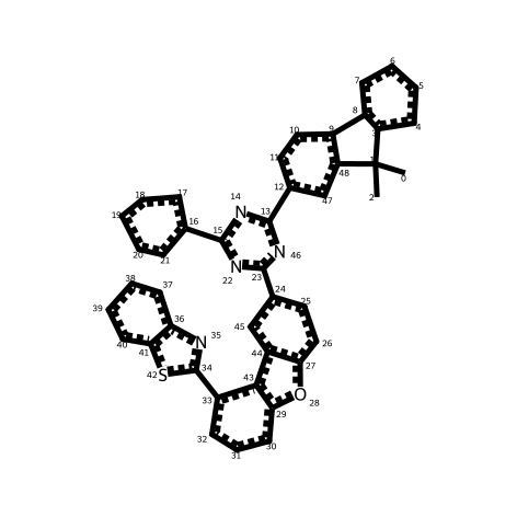 CC1(C)c2ccccc2-c2ccc(-c3nc(-c4ccccc4)nc(-c4ccc5oc6cccc(-c7nc8ccccc8s7)c6c5c4)n3)cc21